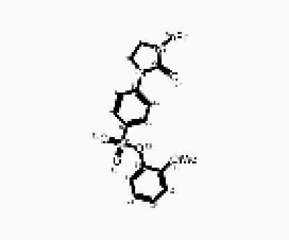 CCCN1CCN(c2ccc(S(=O)(=O)Oc3ccccc3OC)cc2)C1=O